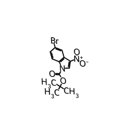 CC(C)(C)OC(=O)n1cc([N+](=O)[O-])c2cc(Br)ccc21